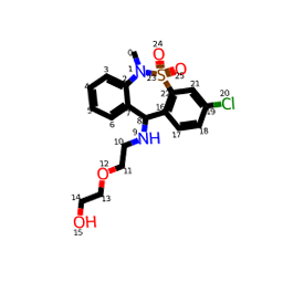 CN1c2ccccc2C(NCCOCCO)c2ccc(Cl)cc2S1(=O)=O